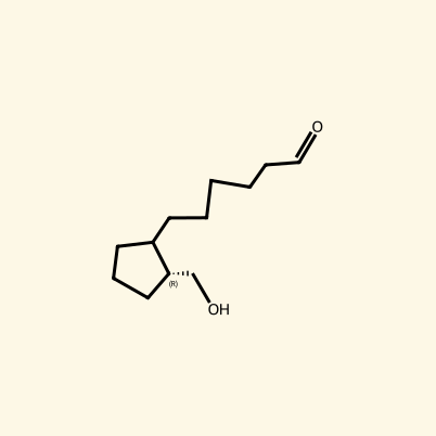 O=CCCCCCC1CCC[C@H]1CO